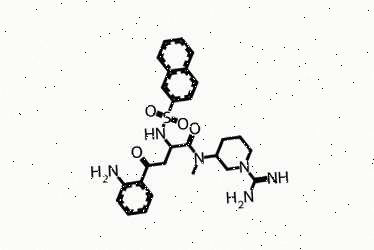 CN(C(=O)C(CC(=O)c1ccccc1N)NS(=O)(=O)c1ccc2ccccc2c1)C1CCCN(C(=N)N)C1